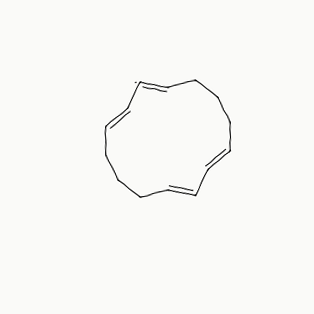 [C]1=C/CCC/C=C/C=C/CCC/C=C/1